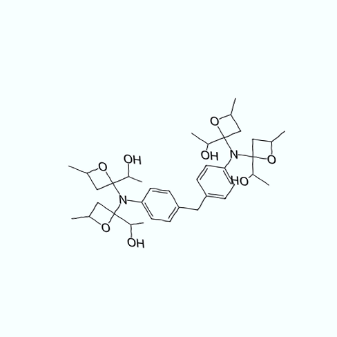 CC1CC(C(C)O)(N(c2ccc(Cc3ccc(N(C4(C(C)O)CC(C)O4)C4(C(C)O)CC(C)O4)cc3)cc2)C2(C(C)O)CC(C)O2)O1